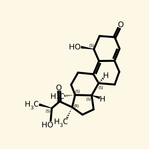 C[C@H](O)C(=O)[C@]1(C)CC[C@H]2[C@@H]3CCC4=CC(=O)C[C@H](O)C4=C3CC[C@@]21C